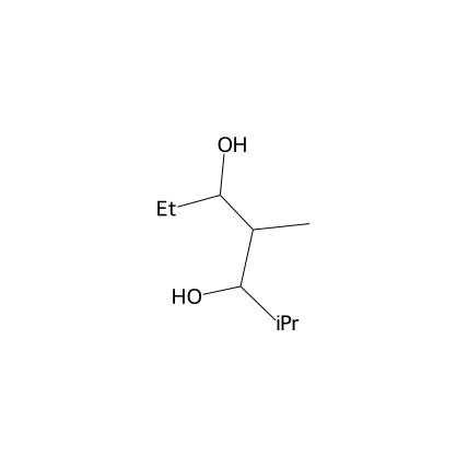 CCC(O)C(C)C(O)C(C)C